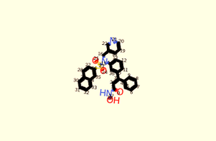 O=C(C=C(c1ccccc1)c1cccc(N(Cc2cccnc2)S(=O)(=O)c2ccc3ccccc3c2)c1)NO